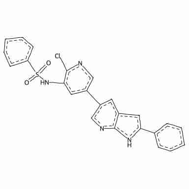 O=S(=O)(Nc1cc(-c2cnc3[nH]c(-c4ccccc4)cc3c2)cnc1Cl)c1ccccc1